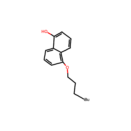 CCC(C)CCCOc1cccc2c(O)cccc12